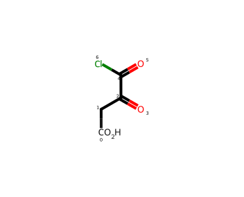 O=C(O)CC(=O)C(=O)Cl